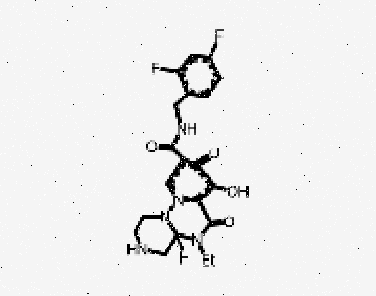 CCN1C(=O)c2c(O)c(=O)c(C(=O)NCc3ccc(F)cc3F)cn2N2CCNC[C@@H]12